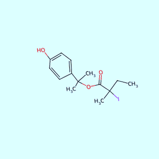 CCC(C)(I)C(=O)OC(C)(C)c1ccc(O)cc1